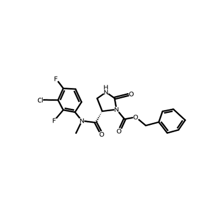 CN(C(=O)[C@@H]1CNC(=O)N1C(=O)OCc1ccccc1)c1ccc(F)c(Cl)c1F